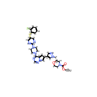 CC(C)(C)OC(=O)N1CCO[C@H](Cn2cc(-c3cc4c(N5CCN(c6ncc(Sc7ccccc7F)cn6)CC5)ncnn4c3)cn2)C1